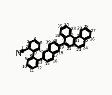 N#Cc1ccccc1-c1ccccc1-c1ccc2cc(-c3cc4ccc5ccccc5c4c4ccccc34)ccc2c1